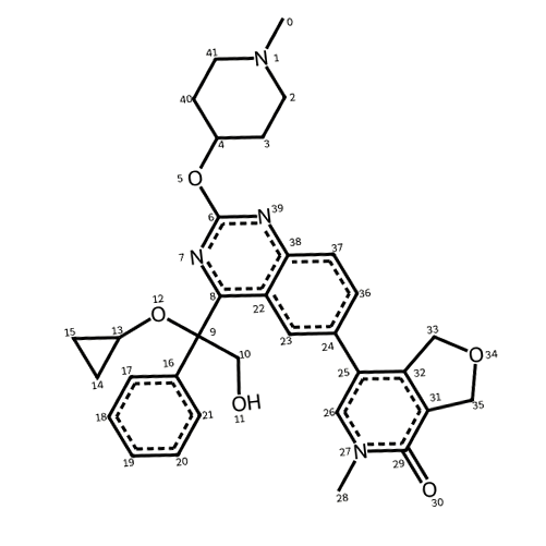 CN1CCC(Oc2nc(C(CO)(OC3CC3)c3ccccc3)c3cc(-c4cn(C)c(=O)c5c4COC5)ccc3n2)CC1